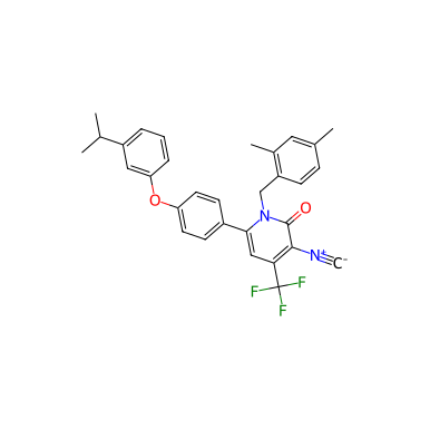 [C-]#[N+]c1c(C(F)(F)F)cc(-c2ccc(Oc3cccc(C(C)C)c3)cc2)n(Cc2ccc(C)cc2C)c1=O